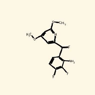 COc1cc(OC)nc(C(F)c2ccc(F)c(F)c2N)c1